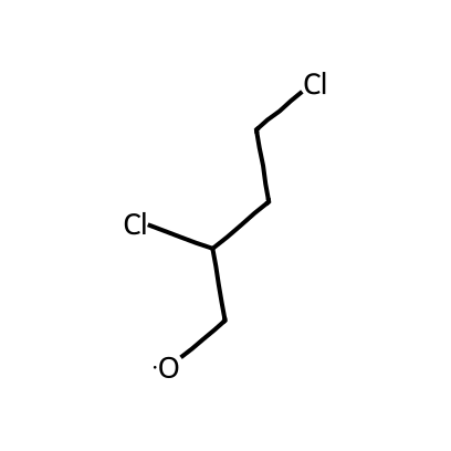 [O]CC(Cl)CCCl